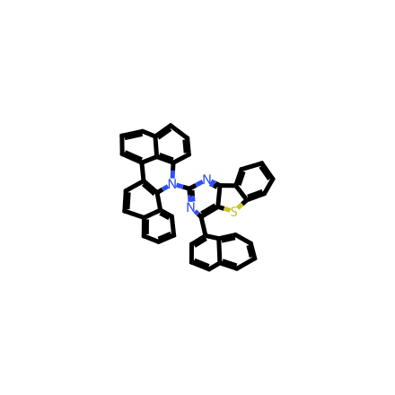 c1ccc2c(-c3nc(N4c5c(ccc6ccccc56)-c5cccc6cccc4c56)nc4c3sc3ccccc34)cccc2c1